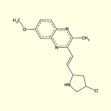 COc1ccc2nc(C)c(C=CC3CC(Cl)CN3)nc2c1